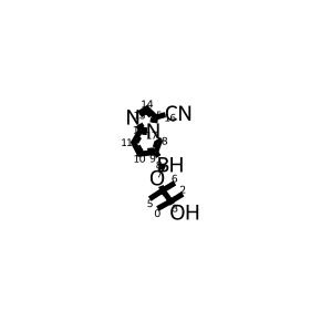 CC(C)(O)C(C)(C)OBc1ccc2ncc(C#N)n2c1